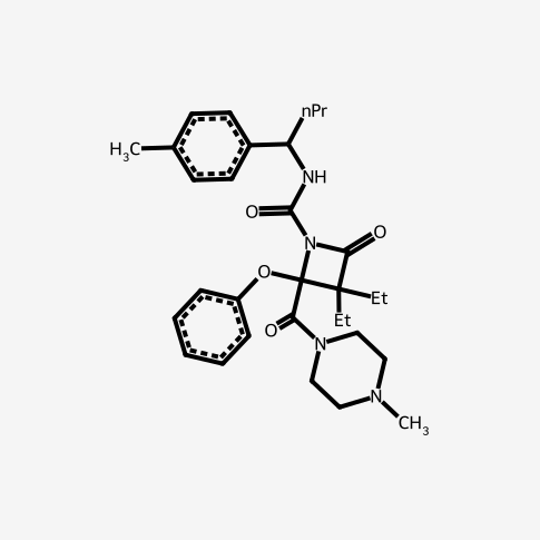 CCCC(NC(=O)N1C(=O)C(CC)(CC)C1(Oc1ccccc1)C(=O)N1CCN(C)CC1)c1ccc(C)cc1